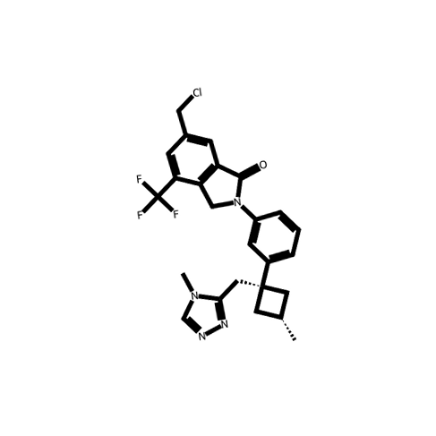 Cn1cnnc1C[C@]1(c2cccc(N3Cc4c(cc(CCl)cc4C(F)(F)F)C3=O)c2)C[C@H](C)C1